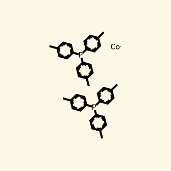 Cc1ccc(P(c2ccc(C)cc2)c2ccc(C)cc2)cc1.Cc1ccc(P(c2ccc(C)cc2)c2ccc(C)cc2)cc1.[Co]